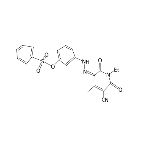 CCN1C(=O)C(C#N)=C(C)/C(=N/Nc2cccc(OS(=O)(=O)c3ccccc3)c2)C1=O